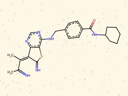 CC(=N)/C(C)=C1\C(=N)Sc2c(NCc3ccc(C(=O)NC4CCCCC4)cc3)ncnc21